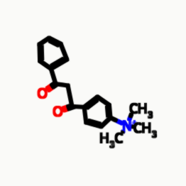 C[N+](C)(C)c1ccc(C(=O)CC(=O)c2ccccc2)cc1